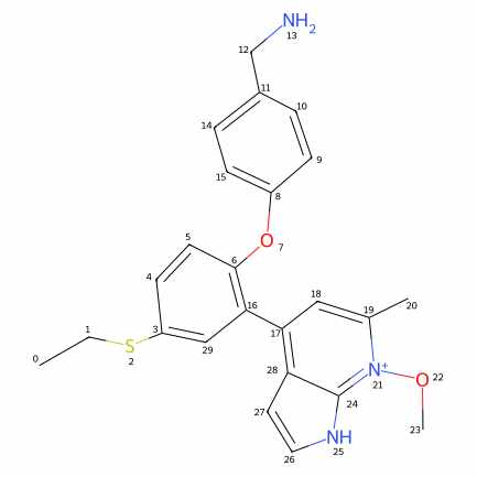 CCSc1ccc(Oc2ccc(CN)cc2)c(-c2cc(C)[n+](OC)c3[nH]ccc23)c1